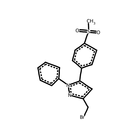 CS(=O)(=O)c1ccc(-c2cc(CBr)nn2-c2ccccc2)cc1